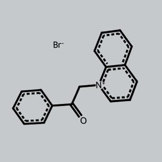 O=C(C[n+]1cccc2ccccc21)c1ccccc1.[Br-]